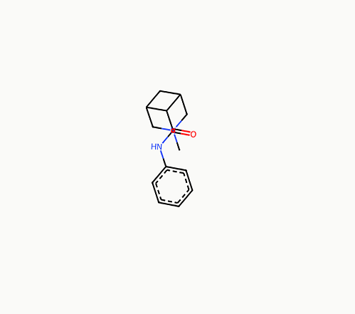 CN1CC2CC(C1)C2C(=O)Nc1ccccc1